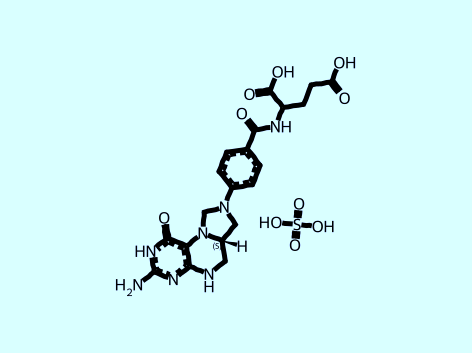 Nc1nc2c(c(=O)[nH]1)N1CN(c3ccc(C(=O)NC(CCC(=O)O)C(=O)O)cc3)C[C@@H]1CN2.O=S(=O)(O)O